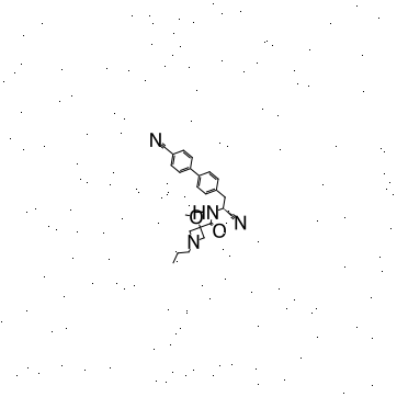 CCCN1CC(OC)(C(=O)N[C@H](C#N)Cc2ccc(-c3ccc(C#N)cc3)cc2)C1